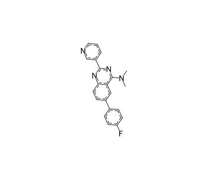 CN(C)c1nc(-c2cccnc2)nc2ccc(-c3ccc(F)cc3)cc12